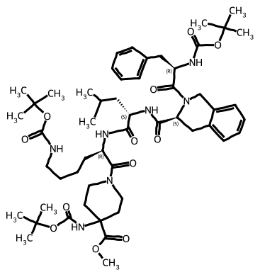 COC(=O)C1(NC(=O)OC(C)(C)C)CCN(C(=O)[C@@H](CCCCNC(=O)OC(C)(C)C)NC(=O)[C@H](CC(C)C)NC(=O)[C@@H]2Cc3ccccc3CN2C(=O)[C@@H](Cc2ccccc2)NC(=O)OC(C)(C)C)CC1